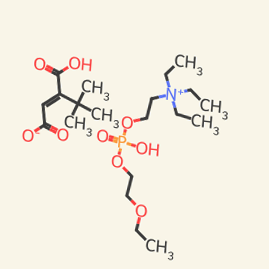 CC(C)(C)/C(=C\C(=O)[O-])C(=O)O.CCOCCOP(=O)(O)OCC[N+](CC)(CC)CC